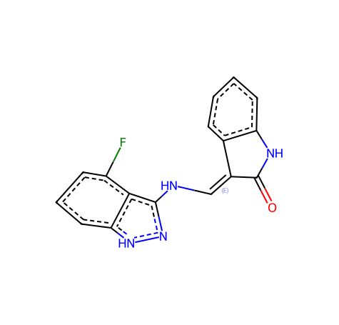 O=C1Nc2ccccc2/C1=C\Nc1n[nH]c2cccc(F)c12